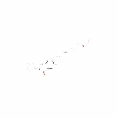 CC1(C2CCCC2)Cc2cc(OCCCCCCC(=O)O)c(Cl)c(Cl)c2C1=O